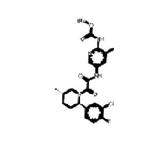 Cc1cc(NC(=O)C(=O)N2C[C@@H](C)CC[C@@H]2c2ccc(F)c(Cl)c2)cnc1NC(=O)OC(C)(C)C